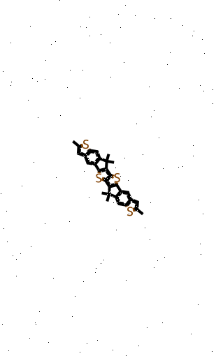 Cc1cc2cc3c(cc2s1)C(C)(C)c1c-3sc2c3c(sc12)-c1cc2cc(C)sc2cc1C3(C)C